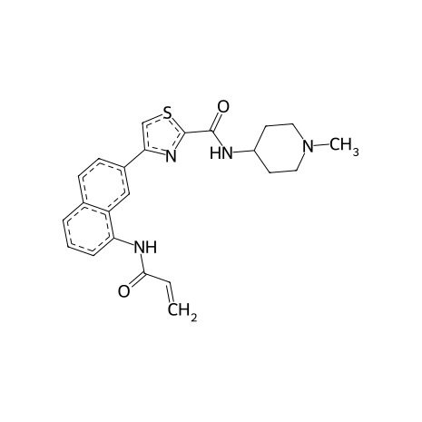 C=CC(=O)Nc1cccc2ccc(-c3csc(C(=O)NC4CCN(C)CC4)n3)cc12